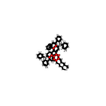 CCCCCCCCc1c(CCCCCCCC)c2cc(N(c3ccccc3)c3ccccc3-c3ccc4c(c3)C3CCCC4CC3)ccc2c2ccc(N(c3ccccc3)c3ccccc3-c3ccc4c(c3)C3CCCC4CC3)cc12